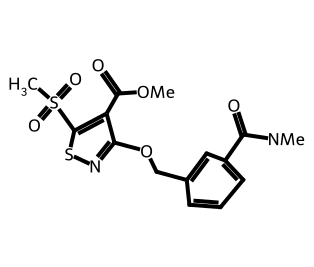 CNC(=O)c1cccc(COc2nsc(S(C)(=O)=O)c2C(=O)OC)c1